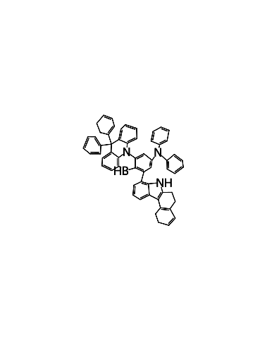 B1c2cccc3c2N(c2ccccc2C3(C2=CC=CCC2)c2ccccc2)c2cc(N(c3ccccc3)c3ccccc3)cc(-c3cccc4c5c([nH]c34)CCC3=C5CCC=C3)c21